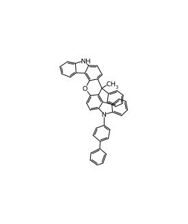 CC1(c2ccccc2)c2ccc3[nH]c4ccccc4c3c2Oc2ccc3c(c21)c1ccccc1n3-c1ccc(-c2ccccc2)cc1